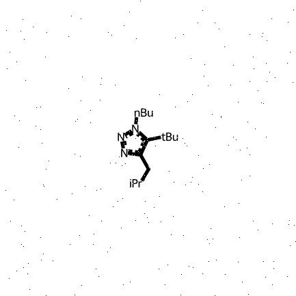 CCCCn1nnc(CC(C)C)c1C(C)(C)C